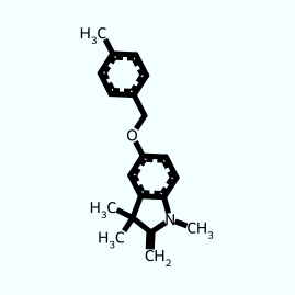 C=C1N(C)c2ccc(OCc3ccc(C)cc3)cc2C1(C)C